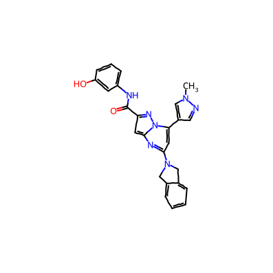 Cn1cc(-c2cc(N3Cc4ccccc4C3)nc3cc(C(=O)Nc4cccc(O)c4)nn23)cn1